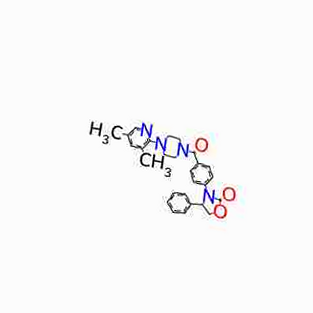 Cc1cnc(N2CCN(C(=O)c3ccc(N4C(=O)OCC4c4ccccc4)cc3)CC2)c(C)c1